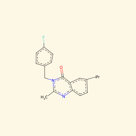 Cc1nc2ccc(C(C)C)cc2c(=O)n1Cc1ccc(F)cc1